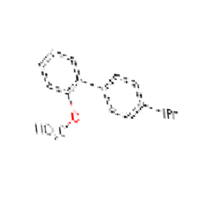 CC(C)c1ccc(-c2ccccc2OC(=O)O)cc1